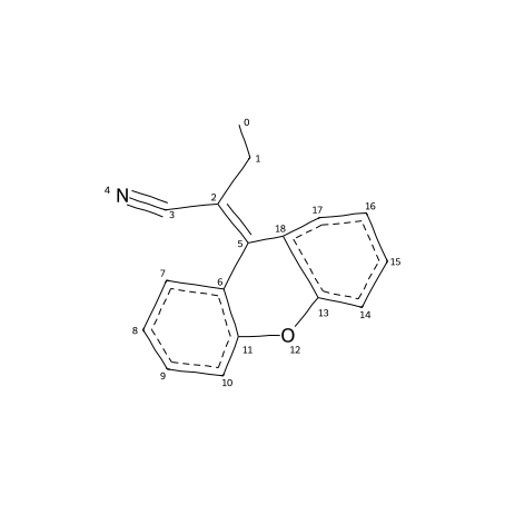 CCC(C#N)=C1c2ccccc2Oc2ccccc21